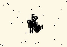 C[C@H](Nc1cc(NS(=O)(=O)N2CCC2)nc(SCc2cccc(F)c2F)n1)[C@H]1COC(C)(C)O1